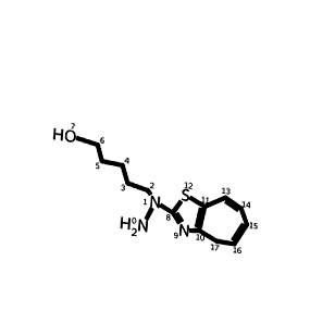 NN(CCCCCO)c1nc2c(s1)C=CC=CC2